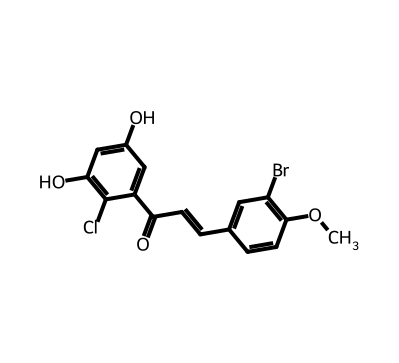 COc1ccc(/C=C/C(=O)c2cc(O)cc(O)c2Cl)cc1Br